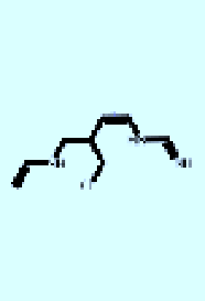 C=CNCC(/C=C\NC=N)CCl